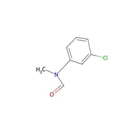 CN(C=O)c1cccc(Cl)c1